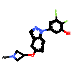 CC(=O)N1CC(Oc2ccc3c(cnn3-c3cc(O)c(F)c(F)c3)c2)C1